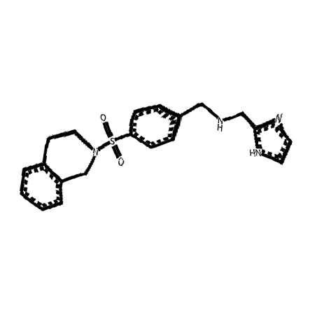 O=S(=O)(c1ccc(CNCc2ncc[nH]2)cc1)N1CCc2ccccc2C1